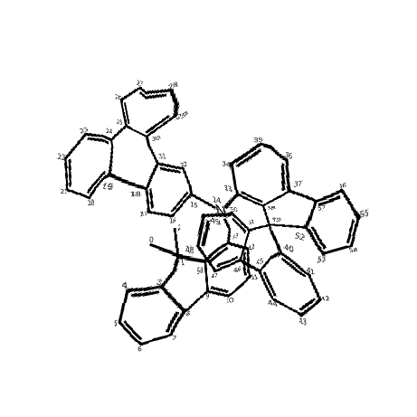 CC1(C)c2ccccc2-c2cccc(N(c3ccc4c5ccccc5c5ccccc5c4c3)c3cccc4c3C3(c5ccccc5-c5ccccc53)c3ccccc3-4)c21